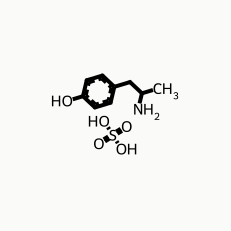 CC(N)Cc1ccc(O)cc1.O=S(=O)(O)O